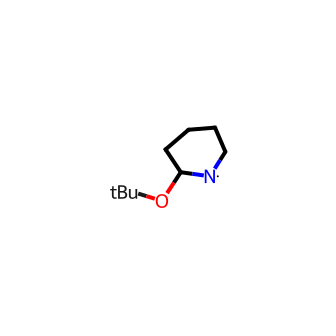 CC(C)(C)OC1CCCC[N]1